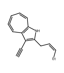 C#Cc1c(C/C=C\CC)[nH]c2c1C=C=CC=C2